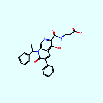 CC(c1ccccc1)n1c(=O)c(-c2ccccc2)cc2c(O)c(C(=O)NCCC(=O)O)ncc21